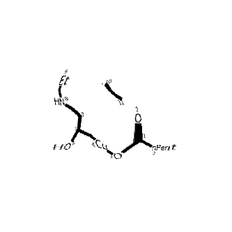 CCCCCC(=O)[O][Cu][CH](O)CNCC.[CH2]C